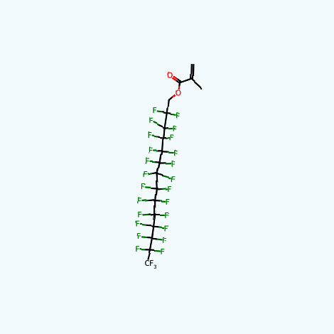 C=C(C)C(=O)OCC(F)(F)C(F)(F)C(F)(F)C(F)(F)C(F)(F)C(F)(F)C(F)(F)C(F)(F)C(F)(F)C(F)(F)C(F)(F)C(F)(F)C(F)(F)F